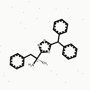 C[C@](N)(Cc1ccccc1)c1nnc(C(c2ccccc2)c2ccccc2)o1